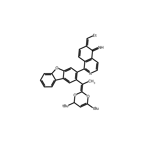 CC/C=C1/C=Cc2c(ccnc2-c2cc3oc4ccccc4c3cc2/C(C)=C2/OC(C(C)(C)C)=CC(C(C)(C)C)O2)C1=N